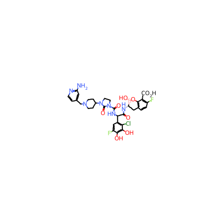 Nc1cc(CN2CCC(N3CCN(C(=O)NC(C(=O)N[C@H]4Cc5ccc(F)c(C(=O)O)c5OB4O)c4cc(F)c(O)c(O)c4Cl)C3=O)CC2)ccn1